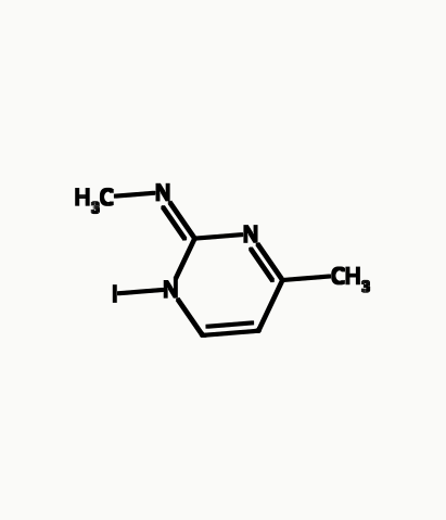 C/N=c1/nc(C)ccn1I